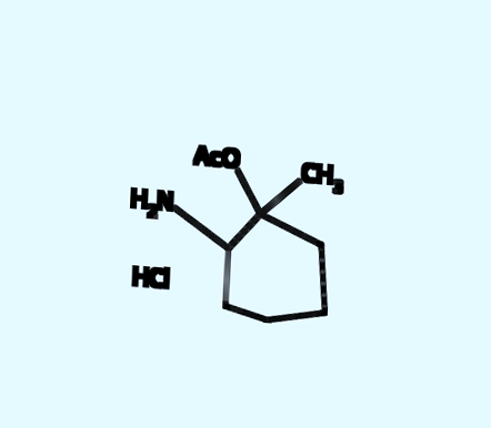 CC(=O)OC1(C)CCCCC1N.Cl